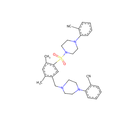 Cc1cc(C)c(S(=O)(=O)N2CCN(c3ccccc3C#N)CC2)cc1CN1CCN(c2ccccc2C#N)CC1